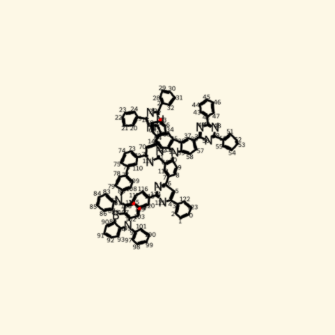 c1ccc(-c2cc(-c3ccc(-n4c5ccc(-c6nc(-c7ccccc7)nc(-c7ccccc7)n6)cc5c5cc(-c6nc(-c7ccccc7)nc(-c7ccccc7)n6)ccc54)c(-c4nc(-c5ccccc5)cc(-c5cccc(-c6ccc(N7c8ccccc8B8c9ccccc9N(c9ccccc9)c9cccc7c98)cc6)c5)n4)c3)nc(-c3ccccc3)n2)cc1